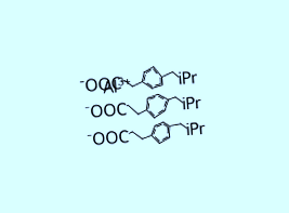 CC(C)Cc1ccc(CCC(=O)[O-])cc1.CC(C)Cc1ccc(CCC(=O)[O-])cc1.CC(C)Cc1ccc(CCC(=O)[O-])cc1.[Al+3]